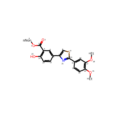 CCCCCCCCCOC(=O)c1cc(-c2csc(-c3ccc(OCC)c(OCC)c3)n2)ccc1O